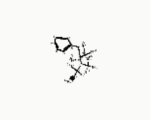 [2H]C([2H])([2H])N(C([2H])([2H])C#C)[C@@]([2H])(Cc1ccccc1)C([2H])([2H])[2H]